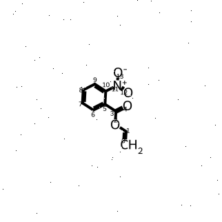 C=COC(=O)c1ccccc1[N+](=O)[O-]